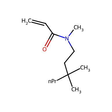 C=CC(=O)N(C)CCC(C)(C)CCC